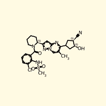 Cc1cn2nc([C@@H]3CCCCN3C(=O)c3cccc(Cl)c3NS(C)(=O)=O)cc2nc1C1C[C@@H](C#N)[C@@H](O)C1